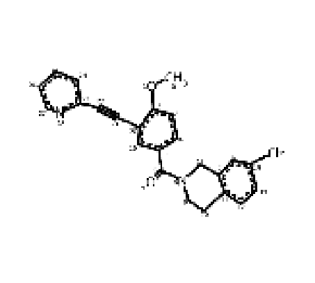 COc1ccc(C(=O)N2CCc3ccc(Cl)cc3C2)cc1C#Cc1ccccn1